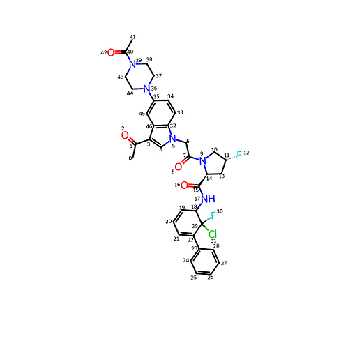 CC(=O)c1cn(CC(=O)N2C[C@H](F)C[C@H]2C(=O)NC2C=CC=C(c3ccccc3)C2(F)Cl)c2ccc(N3CCN(C(C)=O)CC3)cc12